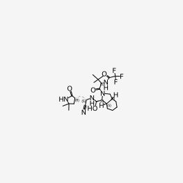 CC1(C)C[C@@H](C[C@@H](C#N)NC(O)[C@@H]2[C@H]3CCCC[C@H]3CN2C(=O)[C@@H](NC(=O)C(F)(F)F)C(C)(C)C)C(=O)N1